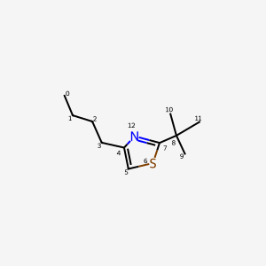 CCCCc1csc(C(C)(C)C)n1